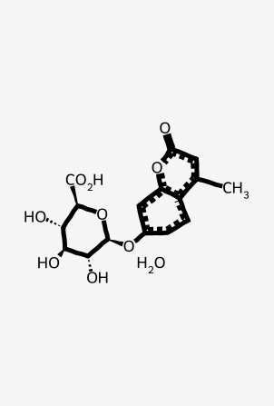 Cc1cc(=O)oc2cc(O[C@@H]3O[C@H](C(=O)O)[C@@H](O)[C@H](O)[C@H]3O)ccc12.O